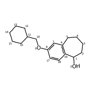 OC1CCCCc2cc(OCC3CCCCC3)ccc21